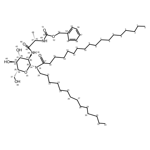 CCCCCCCCCCCCCCCCCC(=O)N(CCCCCCCCCCCCCC)[C@@H]1O[C@H](CO)[C@@H](O)[C@H](O)[C@H]1NC(=O)[C@H](C)NC(=O)OCc1ccccc1